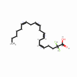 CCCCC/C=C\C/C=C\C/C=C\C/C=C\CCC(F)(F)C(=O)O